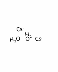 O.O.[Cs].[Cs]